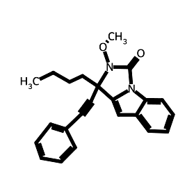 CCCCC1(C#Cc2ccccc2)c2cc3ccccc3n2C(=O)N1OC